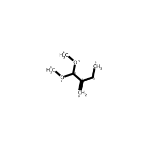 C=C(CC)C(OC)OC